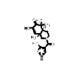 Cc1n[nH]cc1C(=O)N1CC[C@@H]2C(C)(C)C(=O)C(C#N)=C[C@@]2(C)C1